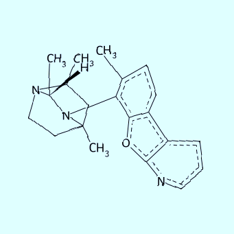 Cc1ccc2c(oc3ncccc32)c1N1[C@@H](C)N2CCC1(C)CC2C